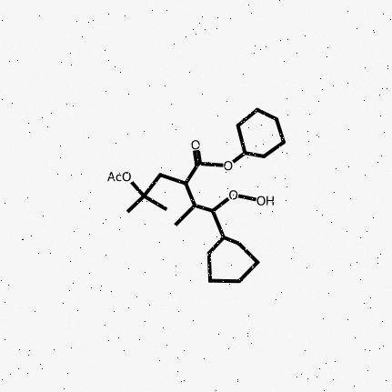 CC(=O)OC(C)(C)CC(C(=O)OC1CCCCC1)C(C)C(OO)C1CCCCC1